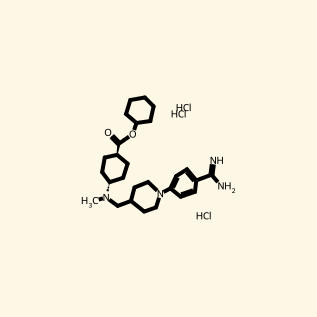 CN(CC1CCN(c2ccc(C(=N)N)cc2)CC1)[C@H]1CC[C@H](C(=O)OC2CCCCC2)CC1.Cl.Cl.Cl